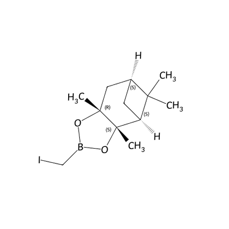 CC1(C)[C@H]2C[C@@H]1[C@]1(C)OB(CI)O[C@]1(C)C2